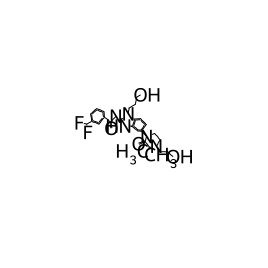 CC1(C)C(=O)N(c2ccc3c(c2)[nH]/c(=N\C(=O)c2cccc(C(F)F)c2)n3CCCO)CCN1CCO